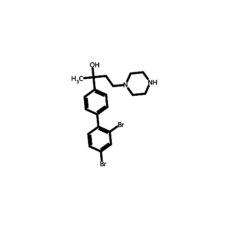 CC(O)(CCN1CCNCC1)c1ccc(-c2ccc(Br)cc2Br)cc1